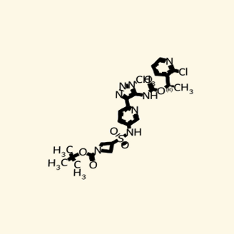 C[C@@H](OC(=O)Nc1c(-c2ccc(NS(=O)(=O)C3CN(C(=O)OC(C)(C)C)C3)cn2)nnn1C)c1cccnc1Cl